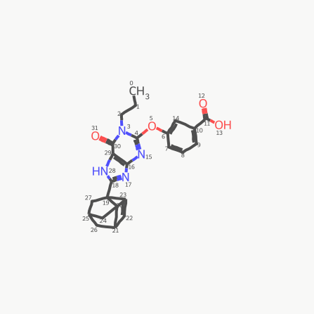 CCCn1c(Oc2cccc(C(=O)O)c2)nc2nc(C34CC5C=C3CC(C5)C4)[nH]c2c1=O